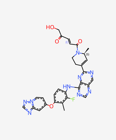 Cc1c(Oc2ccn3ncnc3c2)ccc(Nc2ncnc3cnc(C4=C[C@H](C)N(C(=O)/C=C/C(=O)CO)CC4)nc23)c1F